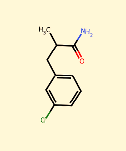 CC(Cc1cccc(Cl)c1)C(N)=O